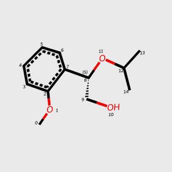 COc1ccccc1[C@@H](CO)OC(C)C